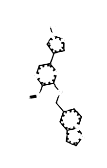 Cn1cc(-c2cnc(N=N)c(NCc3ccn4nccc4c3)n2)cn1